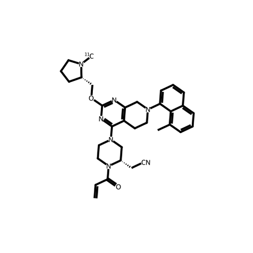 C=CC(=O)N1CCN(c2nc(OC[C@@H]3CCCN3[11CH3])nc3c2CCN(c2cccc4cccc(C)c24)C3)C[C@@H]1CC#N